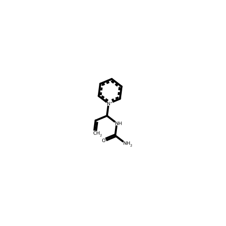 C=CC(NC(N)=O)[n+]1ccccc1